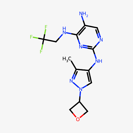 Cc1nn(C2COC2)cc1Nc1ncc(N)c(NCC(F)(F)F)n1